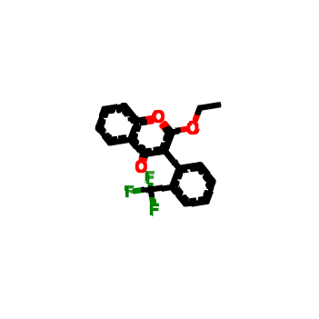 CCOc1oc2ccccc2c(=O)c1-c1ccccc1C(F)(F)F